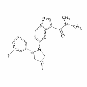 CN(C)C(=O)c1cnn2ccc(N3C[C@@H](F)C[C@@H]3c3cccc(F)c3)cc12